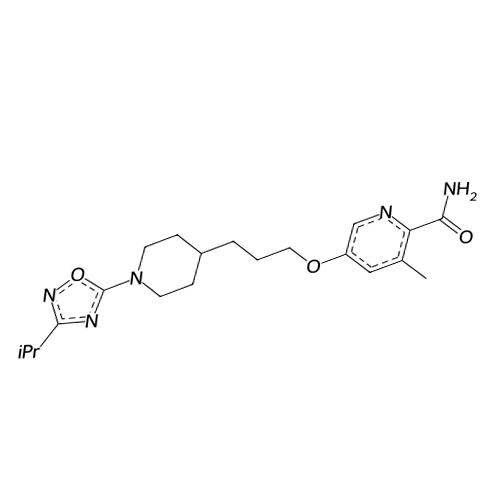 Cc1cc(OCCCC2CCN(c3nc(C(C)C)no3)CC2)cnc1C(N)=O